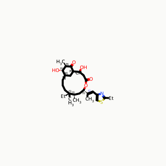 CCc1nc(/C=C(\C)[C@@H]2C[C@H](C)[C@@](C)(CC)CCC[C@@H]3C[C@@](C)(C(=O)[C@H](C)[C@H]3O)C(O)CC(=O)O2)cs1